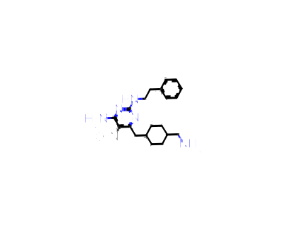 NCC1CCC(Cc2nc(NCCc3ccccc3)nc(N)c2[N+](=O)[O-])CC1